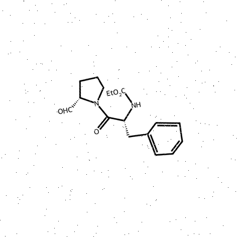 CCOC(=O)N[C@H](Cc1ccccc1)C(=O)N1CCC[C@H]1[C]=O